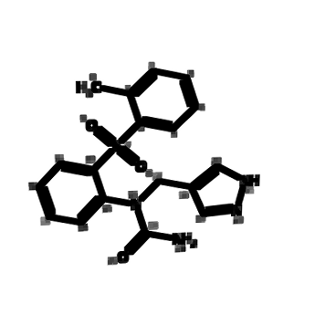 Cc1ccccc1S(=O)(=O)c1ccccc1N(Cc1cn[nH]c1)C(N)=O